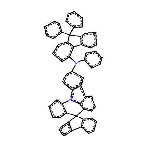 c1ccc(N(c2ccc3c(c2)c2cccc4c2n3-c2ccccc2C42c3ccccc3-c3ccccc32)c2cccc3c2-c2ccccc2C3(c2ccccc2)c2ccccc2)cc1